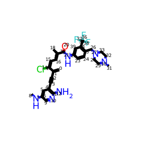 C=C(C#Cc1cc(NC)cnc1N)/C(Cl)=C\C=C(/C)C(=O)Nc1ccc(CN2CCN(C)CC2)c(C(F)(F)F)c1